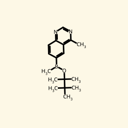 CB(OC(C)(C)C(C)(C)C)c1ccc2ncnc(C)c2c1